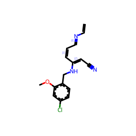 C=C/N=C/C=C\C(=C\C#N)NCc1ccc(Cl)cc1OC